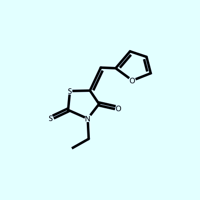 CCN1C(=O)/C(=C\c2ccco2)SC1=S